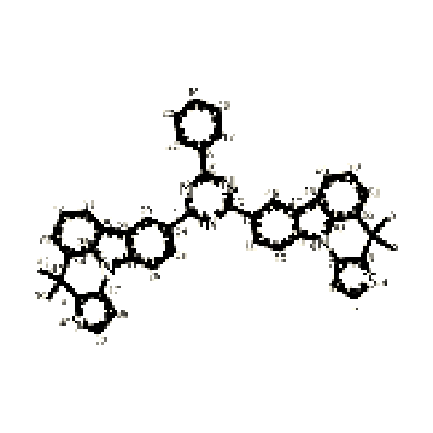 CC1(C)c2sccc2-n2c3ccc(-c4nc(-c5ccccc5)nc(-c5ccc6c(c5)c5cccc7c5n6-c5ccsc5C7(C)C)n4)cc3c3cccc1c32